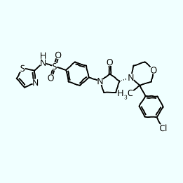 CC1(c2ccc(Cl)cc2)COCCN1[C@@H]1CCN(c2ccc(S(=O)(=O)Nc3nccs3)cc2)C1=O